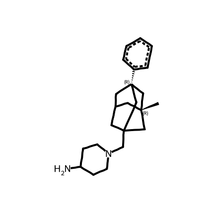 C[C@]12CC3CC(CN4CCC(N)CC4)(C1)C[C@@](c1ccccc1)(C3)C2